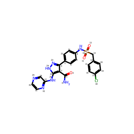 NC(=O)c1c(-c2ccc(NS(=O)(=O)Cc3ccc(Cl)cc3)cc2)n[nH]c1Nc1cnccn1